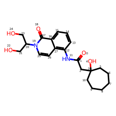 O=C(CC1(O)CCCCCC1)Nc1cccc2c(=O)n(C(CO)CO)ccc12